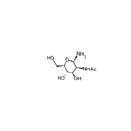 CC(=O)N[C@H]1[C@@H](O)[C@H](O)[C@@H](CO)O[C@H]1N